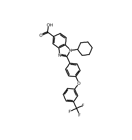 O=C(O)c1ccc2c(c1)nc(-c1ccc(Oc3cccc(C(F)(F)F)c3)cc1)n2C1CCCCC1